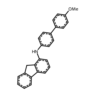 COc1ccc(-c2ccc(Nc3cccc4c3Cc3ccccc3-4)cc2)cc1